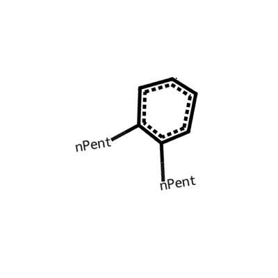 CCCCCc1c[c]ccc1CCCCC